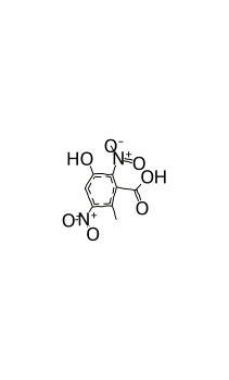 Cc1c([N+](=O)[O-])cc(O)c([N+](=O)[O-])c1C(=O)O